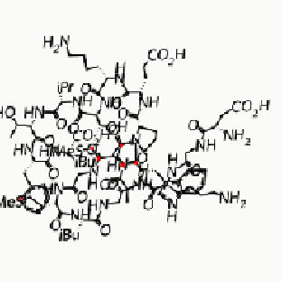 CC[C@H](C)[C@H](NC(=O)[C@H](Cc1ccccc1)NC(=O)[C@@H](NC(=O)[C@@H](NC(=O)[C@@H](NC(=O)[C@H](CCCCN)NC(=O)[C@H](CCC(=O)O)NC(=O)[C@@H]1CCCN1C(=O)[C@H](CCSC)NC(=O)[C@H](Cc1c[nH]c2ccccc12)NC(=O)CNC(=O)[C@@H](NC(=O)[C@H](CCSC)NC(=O)CNC(=O)[C@@H]1CCCN1C(=O)[C@H](C)NC(=O)[C@H](CCCCN)NC(=O)CNC(=O)[C@@H](N)CC(=O)O)[C@@H](C)CC)[C@@H](C)O)C(C)C)[C@@H](C)O)C(=O)O